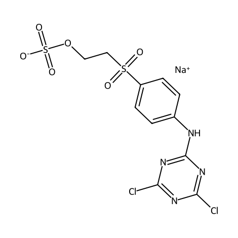 O=S(=O)([O-])OCCS(=O)(=O)c1ccc(Nc2nc(Cl)nc(Cl)n2)cc1.[Na+]